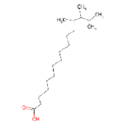 CC(C)C(C)C(C)CCCCCCCCCCCC(=O)O